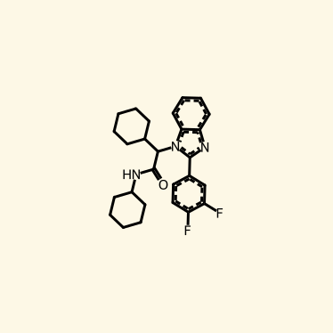 O=C(NC1CCCCC1)C(C1CCCCC1)n1c(-c2ccc(F)c(F)c2)nc2ccccc21